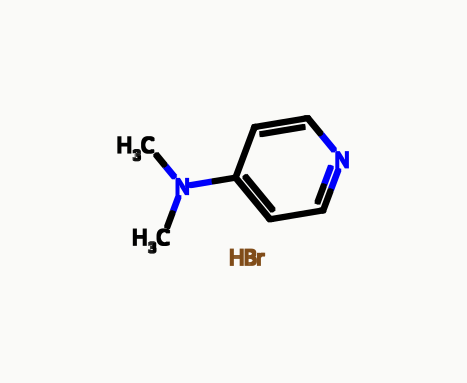 Br.CN(C)c1ccncc1